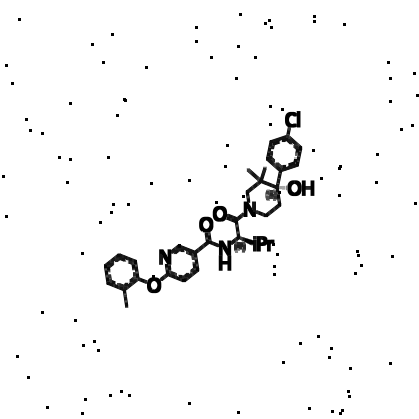 Cc1ccccc1Oc1ccc(C(=O)N[C@@H](C(=O)N2CC[C@](O)(c3ccc(Cl)cc3)C(C)(C)C2)C(C)C)cn1